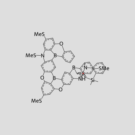 CSc1cc2c3c(c1)Oc1cc4c(cc1B3c1cc3c(cc1O2)Nc1cc(SC)cc2c1B3c1cccc3c1N2c1ccccc1[Si]3(C)C)B1c2ccccc2Oc2cc(SC)cc(c21)N4SC